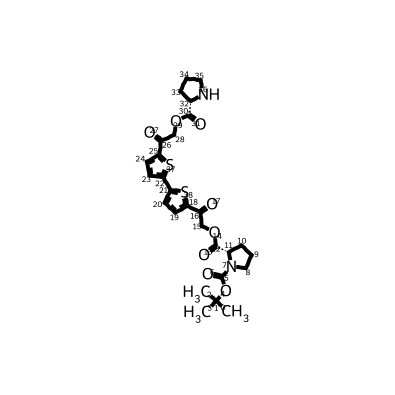 CC(C)(C)OC(=O)N1CCC[C@H]1C(=O)OCC(=O)c1ccc(-c2ccc(C(=O)COC(=O)[C@@H]3CCCN3)s2)s1